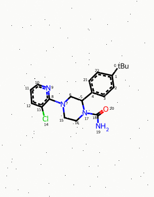 CC(C)(C)c1ccc(C2CN(c3ncccc3Cl)CCN2C(N)=O)cc1